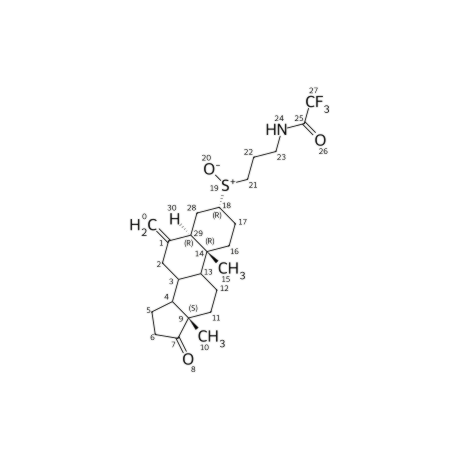 C=C1CC2C3CCC(=O)[C@@]3(C)CCC2[C@@]2(C)CC[C@@H]([S+]([O-])CCCNC(=O)C(F)(F)F)C[C@H]12